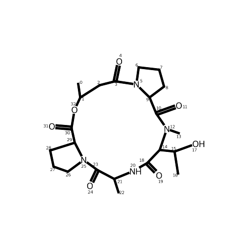 CC1CC(=O)N2CCCC2C(=O)N(C)C(C(C)O)C(=O)NC(C)C(=O)N2CCCC2C(=O)O1